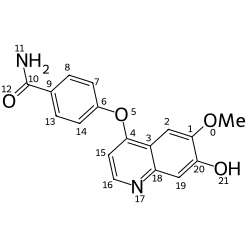 COc1cc2c(Oc3ccc(C(N)=O)cc3)ccnc2cc1O